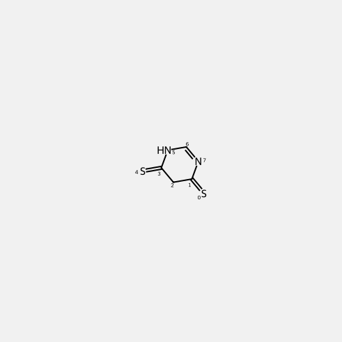 S=C1CC(=S)NC=N1